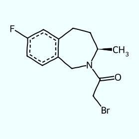 C[C@@H]1CCc2cc(F)ccc2CN1C(=O)CBr